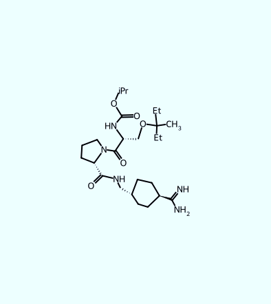 CCC(C)(CC)OC[C@@H](NC(=O)OC(C)C)C(=O)N1CCC[C@H]1C(=O)NC[C@H]1CC[C@H](C(=N)N)CC1